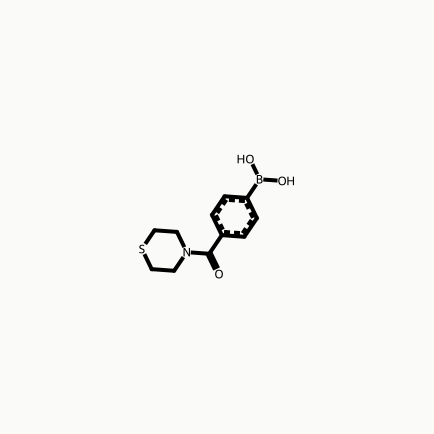 O=C(c1ccc(B(O)O)cc1)N1CCSCC1